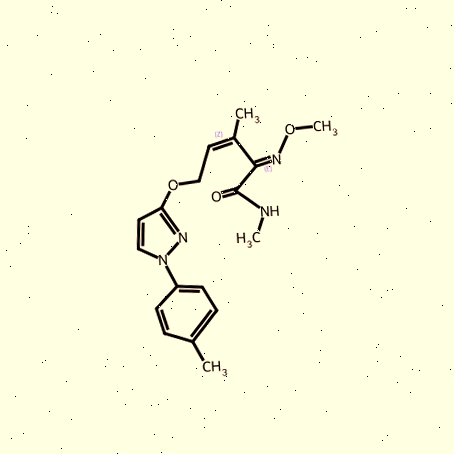 CNC(=O)C(=N/OC)/C(C)=C\COc1ccn(-c2ccc(C)cc2)n1